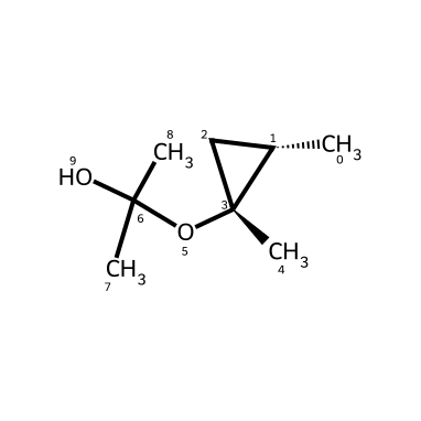 C[C@H]1C[C@@]1(C)OC(C)(C)O